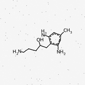 Cc1cc(N)c(CC(O)CCCN)c(N)c1